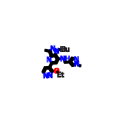 CCOc1nnccc1-c1cc(NCc2cnn(C)c2)c2c(n1)c(C)nn2C(C)CC